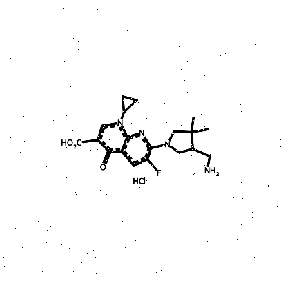 CC1(C)CN(c2nc3c(cc2F)c(=O)c(C(=O)O)cn3C2CC2)CC1CN.Cl